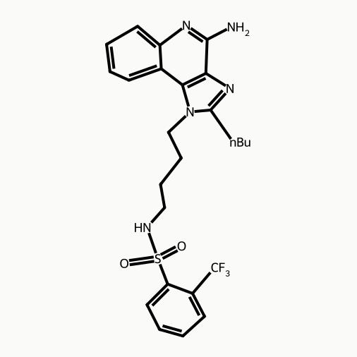 CCCCc1nc2c(N)nc3ccccc3c2n1CCCCNS(=O)(=O)c1ccccc1C(F)(F)F